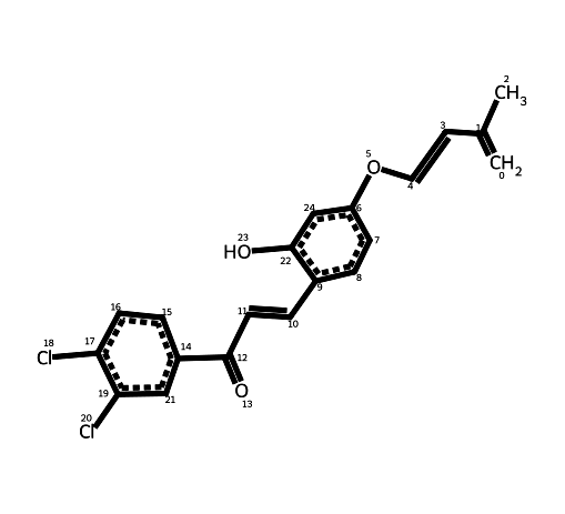 C=C(C)C=COc1ccc(C=CC(=O)c2ccc(Cl)c(Cl)c2)c(O)c1